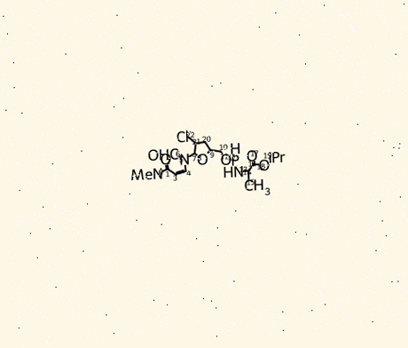 CNC(=O)/C=C\N(C=O)C1OC(COPNC(C)C(=O)OC(C)C)CC1Cl